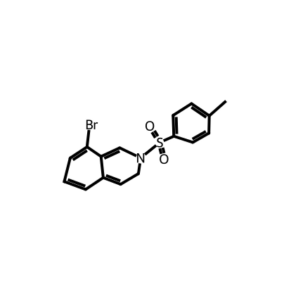 Cc1ccc(S(=O)(=O)N2C=c3c(Br)cccc3=CC2)cc1